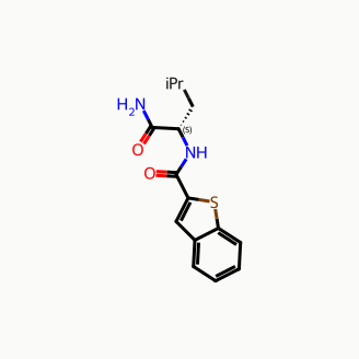 CC(C)C[C@H](NC(=O)c1cc2ccccc2s1)C(N)=O